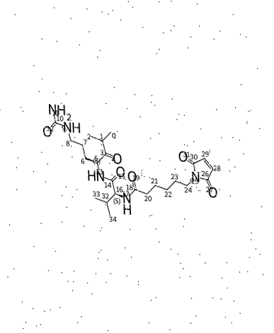 CC(C)C(=O)[C@H](CCCNC(N)=O)NC(=O)[C@@H](NC(=O)CCCCCN1C(=O)C=CC1=O)C(C)C